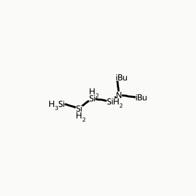 CCC(C)N([SiH2][SiH2][SiH2][SiH3])C(C)CC